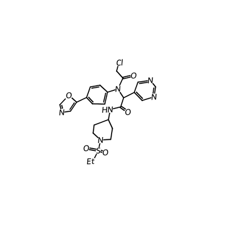 CCS(=O)(=O)N1CCC(NC(=O)C(c2cncnc2)N(C(=O)CCl)c2ccc(-c3cnco3)cc2)CC1